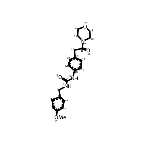 COc1ccc(CNC(=O)Nc2ccc(CC(=O)N3CCOCC3)cc2)cc1